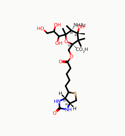 CC(=O)N[C@@]1(C)C(C)(C(O)C(O)CO)O[C@@](COC(=O)CCCCC2SC[C@@H]3NC(=O)N[C@H]23)(C(=O)O)C(C)(C)[C@@]1(C)O